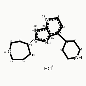 Cl.c1cc(C2CCNCC2)c2nc([C@@H]3CCCOCC3)[nH]c2n1